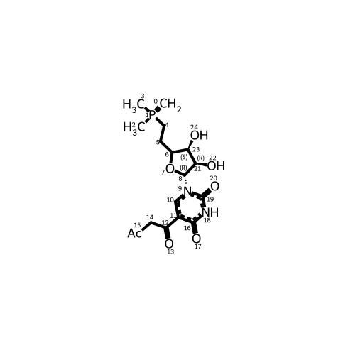 C=P(C)(C)CCC1O[C@@H](n2cc(C(=O)CC(C)=O)c(=O)[nH]c2=O)[C@H](O)[C@@H]1O